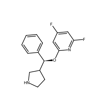 Fc1cc(F)nc(O[C@H](c2ccccc2)C2CCNC2)c1